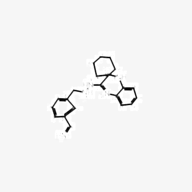 N=Cc1cccc(CNNC2=Nc3ccccc3NC23CCCCC3)c1